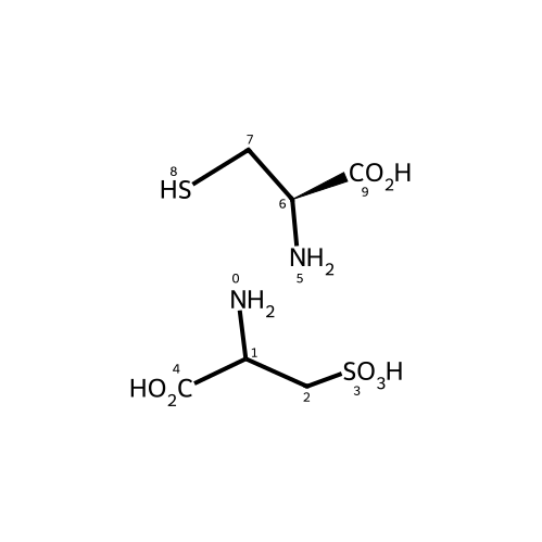 NC(CS(=O)(=O)O)C(=O)O.N[C@@H](CS)C(=O)O